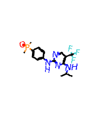 CC(C)Nc1nc(Nc2ccc(P(C)(C)=O)cc2)ncc1C(F)(F)F